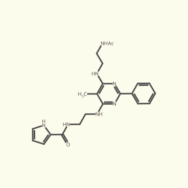 CC(=O)NCCNc1nc(-c2ccccc2)nc(NCCNC(=O)c2ccc[nH]2)c1C